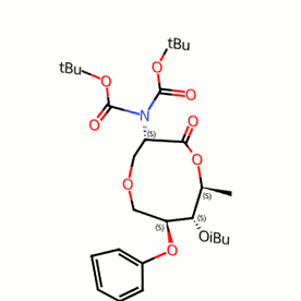 CC(C)CO[C@H]1[C@H](C)OC(=O)[C@@H](N(C(=O)OC(C)(C)C)C(=O)OC(C)(C)C)COC[C@@H]1Oc1ccccc1